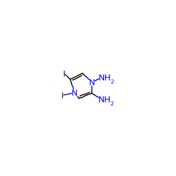 NC1=CN(I)C(I)=CN1N